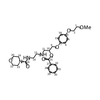 COCCOc1ccc(OCC(CNCCNC(=O)N2CCOCC2)OC(=O)c2ccccc2)cc1